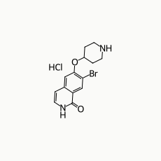 Cl.O=c1[nH]ccc2cc(OC3CCNCC3)c(Br)cc12